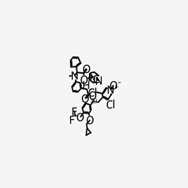 CN(c1cccc(CC(=O)O[C@@H](Cc2c(Cl)c[n+]([O-])cc2Cl)c2ccc(OC(F)F)c(OCC3CC3)c2)c1)C(C(=O)O[C@H]1CN2CCC1CC2)c1ccccc1